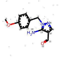 COc1ccc(Cn2ncc(C=O)c2N)cc1